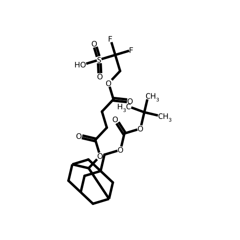 CC(C)(C)OC(=O)OCC12CC3CC(C1)C(OC(=O)CCC(=O)OCC(F)(F)S(=O)(=O)O)C(C3)C2